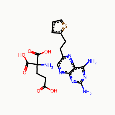 NC(CCC(=O)O)(C(=O)O)C(=O)O.Nc1nc(N)c2nc(CCc3cccs3)cnc2n1